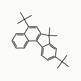 CC(C)(C)c1ccc2c(c1)C(C)(C)c1cc(C(C)(C)C)c3ccccc3c1-2